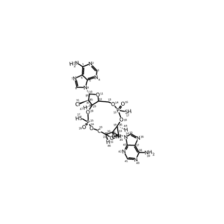 Nc1ncnc2c1ncn2[C@@H]1OC2COP(=O)(S)O[C@@H]3[C@H](O)[C@@H](COP(=O)(S)O[C@H]2[C@H]1Cl)O[C@H]3n1cnc2c(N)ncnc21